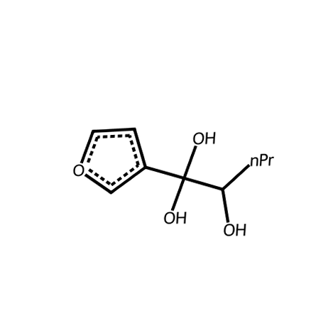 CCCC(O)C(O)(O)c1ccoc1